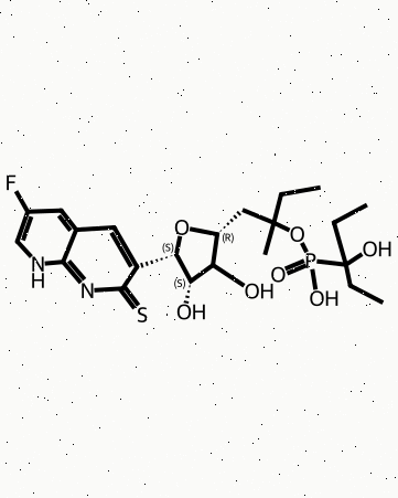 CCC(C)(C[C@H]1O[C@@H](c2cc3cc(F)c[nH]c-3nc2=S)[C@@H](O)C1O)OP(=O)(O)C(O)(CC)CC